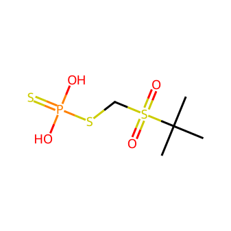 CC(C)(C)S(=O)(=O)CSP(O)(O)=S